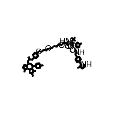 C=C(Cc1ccc(OCCCOCCCCOCC(=O)NC(C(=O)N2CC(C)C[C@H]2C(=O)NCc2ccc(-c3[nH]ccc3C)cc2)C(C)(C)C)cc1)CC1C=C(c2ccc(C)cc2)C2=C(CC(C)=C2C)C2C(C)=CC=C12